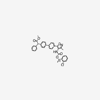 COC(=O)C(c1ccccc1)c1ccc(-c2ccc(-c3onc(C)c3NC(=O)O[C@H](C)c3ccccc3Cl)cc2)cc1